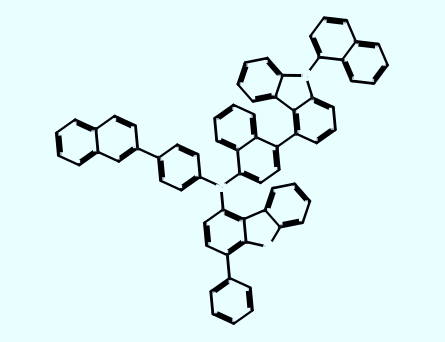 c1ccc(-c2ccc(N(c3ccc(-c4ccc5ccccc5c4)cc3)c3ccc(-c4cccc5c4c4ccccc4n5-c4cccc5ccccc45)c4ccccc34)c3c2oc2ccccc23)cc1